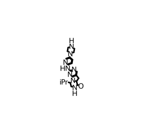 CC(C)C1CNC(=O)C2Cc3cnc(Nc4ccc(N5CCNCC5)cn4)nc3N21